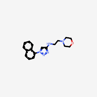 c1ccc2c(-n3cc(NCCN4CCOCC4)nn3)cccc2c1